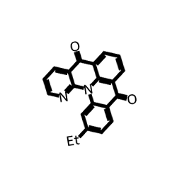 CCc1ccc2c(=O)c3cccc4c(=O)c5cccnc5n(c2c1)c34